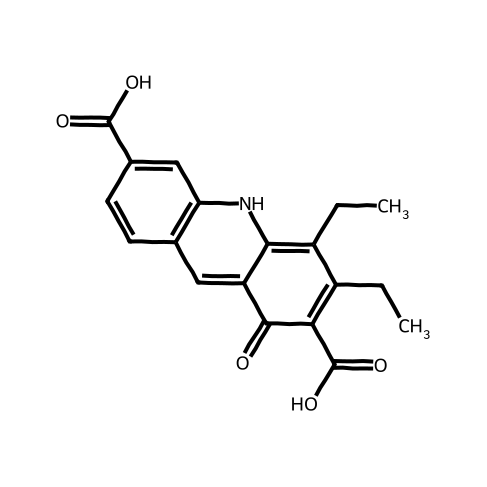 CCc1c2[nH]c3cc(C(=O)O)ccc3cc-2c(=O)c(C(=O)O)c1CC